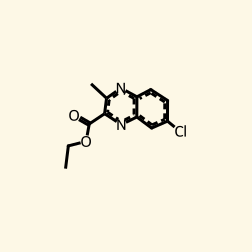 CCOC(=O)c1nc2cc(Cl)ccc2nc1C